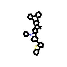 CC1(C)c2cc3c4ccccc4c4ccccc4c3cc2-c2cc3c(cc21)c1cc(-c2cccc4c2sc2ccccc24)ccc1n3-c1ccccc1